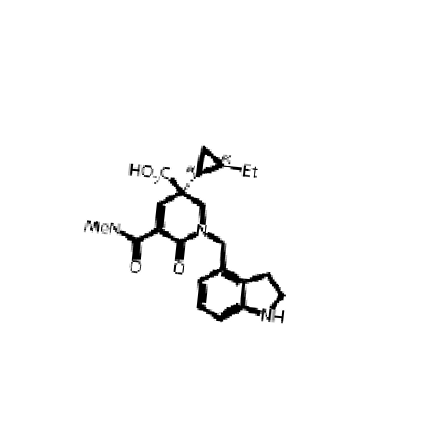 CC[C@@H]1C[C@H]1C1(C(=O)O)C=C(C(=O)NC)C(=O)N(Cc2cccc3c2CCN3)C1